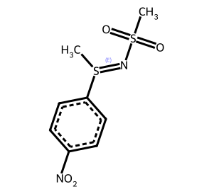 C/S(=N\S(C)(=O)=O)c1ccc([N+](=O)[O-])cc1